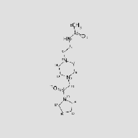 CC(=O)NCCN1CCN(CC(=O)N2CCCC2)CC1